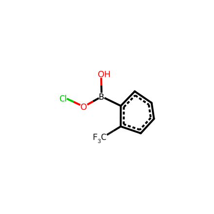 OB(OCl)c1ccccc1C(F)(F)F